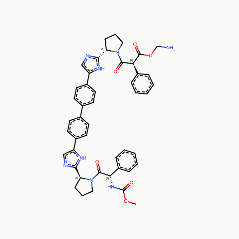 COC(=O)N[C@H](C(=O)N1CCC[C@H]1c1ncc(-c2ccc(-c3ccc(-c4cnc([C@@H]5CCCN5C(=O)[C@@H](C(=O)OCN)c5ccccc5)[nH]4)cc3)cc2)[nH]1)c1ccccc1